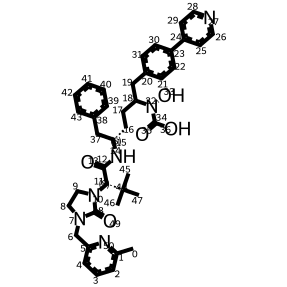 Cc1cccc(CN2CCN([C@H](C(=O)N[C@@H](CCC(Cc3ccc(-c4ccncc4)cc3)N(O)C(=O)O)Cc3ccccc3)C(C)(C)C)C2=O)n1